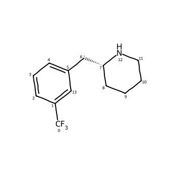 FC(F)(F)c1cccc([CH][C@H]2CCCCN2)c1